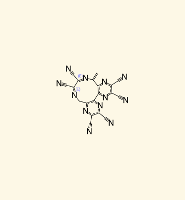 C=C1/N=C(C#N)\C(C#N)=N/Cc2nc(C#N)c(C#N)nc2-c2nc(C#N)c(C#N)nc21